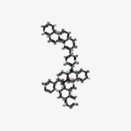 c1ccc(-c2ccc(N(c3ccc(-c4ccc5ccc6c7ccccc7ccc6c5c4)cc3)c3ccccc3-c3ccc4ccc5ccccc5c4c3)cc2)cc1